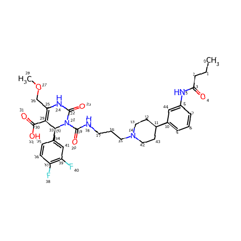 CCCC(=O)Nc1cccc(C2CCN(CCCNC(=O)N3C(=O)NC(COC)=C(C(=O)O)[C@@H]3c3ccc(F)c(F)c3)CC2)c1